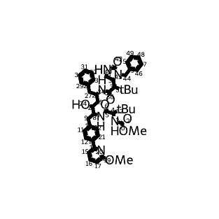 COC(=O)NC(C(=O)NC(Cc1ccc(-c2cccc(OC)n2)cc1)C(O)CC(Cc1ccccc1)NC(=O)C(C1CNC(=O)N1Cc1ccccc1)C(C)(C)C)C(C)(C)C